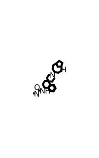 CN(C)C(=O)N[C@H]1CCC2(CCN([C@H]3CCC4CC[C@@H](CC3)C4)CC2)c2ccccc21